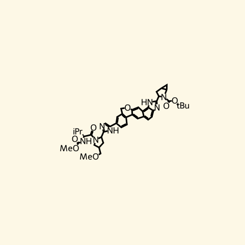 COCC1CC(c2ncc(-c3ccc4c(c3)COc3cc5c(ccc6nc(C7CC8CC8N7C(=O)OC(C)(C)C)[nH]c65)cc3-4)[nH]2)N(C(=O)[C@@H](NC(=O)OC)C(C)C)C1